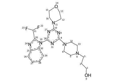 OCCCN1CCN(c2nc(N3CCOCC3)nc(-n3c(C(F)F)nc4ccccc43)n2)CC1